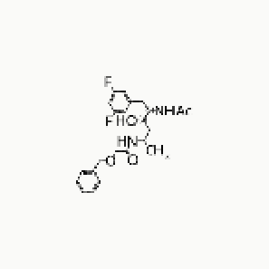 CC(=O)N[C@@H](Cc1cc(F)cc(F)c1)[C@@H](O)CC(C)NC(=O)COCc1ccccc1